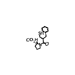 O=C(O)[C@@H]1CCCN1C(=O)C(CS)Cc1ccccc1